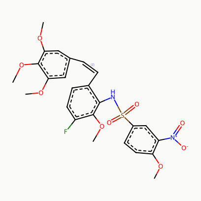 COc1ccc(S(=O)(=O)Nc2c(/C=C\c3cc(OC)c(OC)c(OC)c3)ccc(F)c2OC)cc1[N+](=O)[O-]